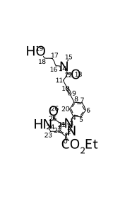 CCOC(=O)c1nn(-c2cccc(C#CCC(=O)N(C)CCCO)c2)c2c1CNC2=O